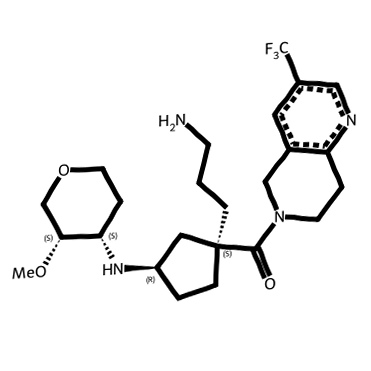 CO[C@@H]1COCC[C@@H]1N[C@@H]1CC[C@](CCCN)(C(=O)N2CCc3ncc(C(F)(F)F)cc3C2)C1